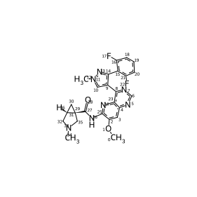 COc1cc2ncnc(-c3cn(C)nc3-c3c(F)cccc3F)c2nc1NC(=O)[C@]12C[C@H]1CN(C)C2